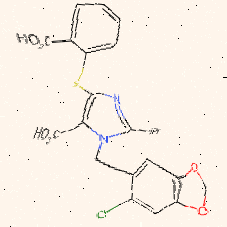 CC(C)c1nc(Sc2ccccc2C(=O)O)c(C(=O)O)n1Cc1cc2c(cc1Cl)OCO2